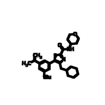 C=C(C)c1cc(-c2sc(C(=O)NC3CCOCC3)nc2CC2CCCCC2)cc(C(C)(C)C)c1